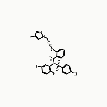 Cc1cnn(CCCOc2ccccc2[C@@H](C)N(c2cc(F)ccc2F)S(=O)(=O)c2ccc(Cl)cc2)c1